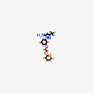 CC(C)(C)c1cc(N)n(-c2cccc(OCCOC3CCCCO3)c2)n1